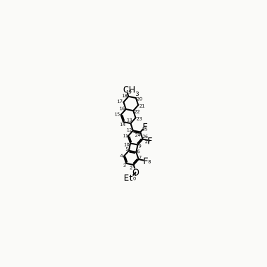 CCOc1ccc2c(c1F)-c1c-2cc(C2C=CC3CC(C)CCC3C2)c(F)c1F